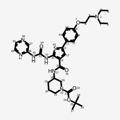 CCN(CC)CCOc1ccc(-c2cc(C(=O)NC3CCCN(C(=O)OC(C)(C)C)C3)c(NC(=O)Nc3cnccn3)s2)cc1